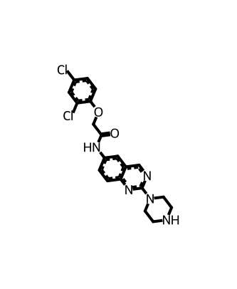 O=C(COc1ccc(Cl)cc1Cl)Nc1ccc2nc(N3CCNCC3)ncc2c1